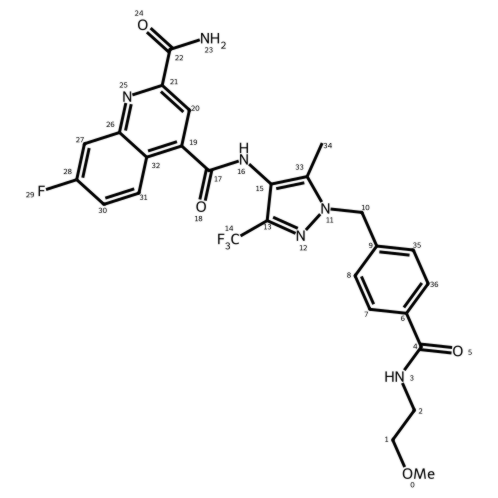 COCCNC(=O)c1ccc(Cn2nc(C(F)(F)F)c(NC(=O)c3cc(C(N)=O)nc4cc(F)ccc34)c2C)cc1